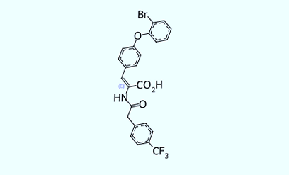 O=C(Cc1ccc(C(F)(F)F)cc1)N/C(=C/c1ccc(Oc2ccccc2Br)cc1)C(=O)O